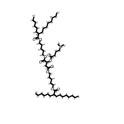 CCCCCCCCC(CCCCCC)C(=O)OCCCCCOC(=O)CC(OC(=O)CCCN(C)C)C(=O)OCCCCCOC(=O)C(CCCCCC)CCCCCCCC